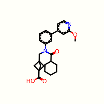 COc1cc(-c2cccc(N(CC34CC(C(=O)O)(C3)C4)C(=O)C3CCCCC3)c2)ccn1